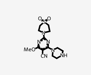 COc1nc(N2CCS(=O)(=O)CC2)nc(N2CCNCC2)c1C#N